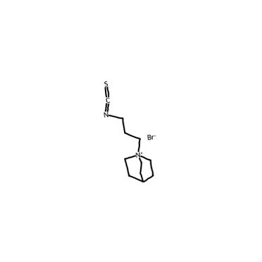 S=C=NCCC[N+]12CCC(CC1)CC2.[Br-]